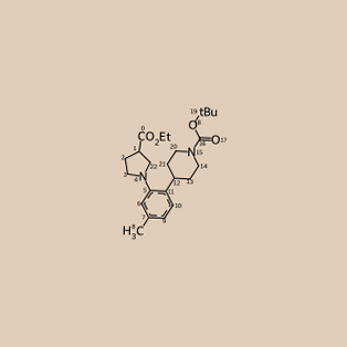 CCOC(=O)C1CCN(c2cc(C)ccc2C2CCN(C(=O)OC(C)(C)C)CC2)C1